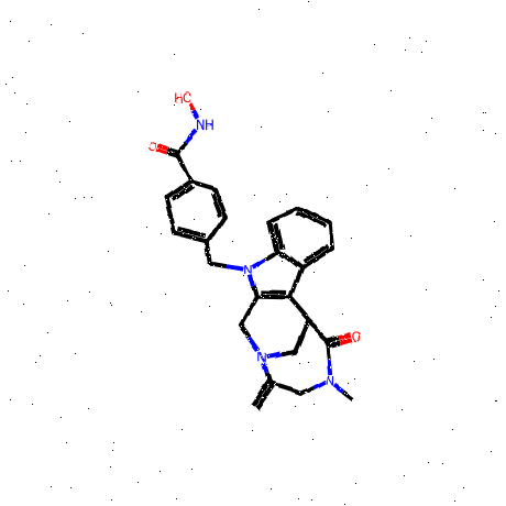 C=C1CN(C)C(=O)C2CN1Cc1c2c2ccccc2n1Cc1ccc(C(=O)NO)cc1